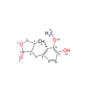 [CH2]C1COC(=O)C1Cc1ccc(O)c(OC)c1